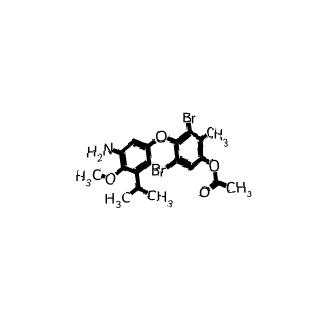 COc1c(N)cc(Oc2c(Br)cc(OC(C)=O)c(C)c2Br)cc1C(C)C